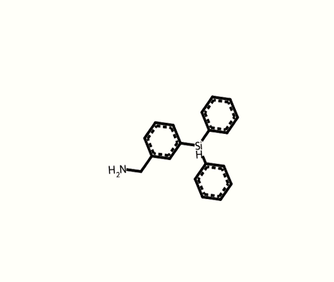 NCc1cccc([SiH](c2ccccc2)c2ccccc2)c1